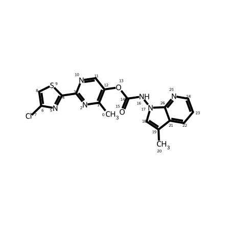 Cc1nc(-c2nc(Cl)cs2)ncc1OC(=O)Nn1cc(C)c2cccnc21